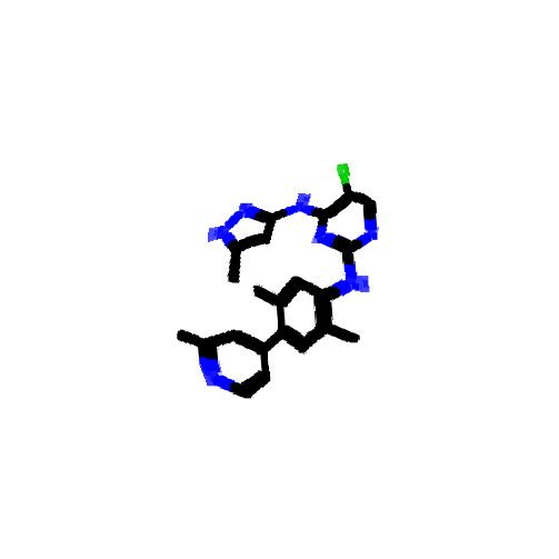 Cc1cc(-c2cc(C)c(Nc3ncc(Cl)c(Nc4cc(C)[nH]n4)n3)cc2C)ccn1